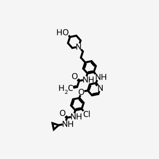 C=CC(=O)Nc1cc(CCN2CCC(O)CC2)ccc1Nc1cc(Oc2ccc(NC(=O)NC3CC3)c(Cl)c2)ccn1